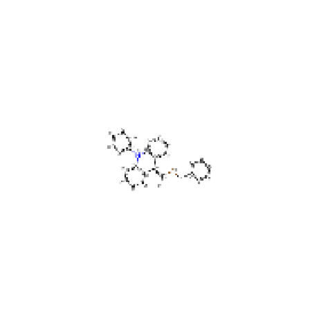 CC(SCc1ccccc1)=C1c2ccccc2N(c2ccccc2)c2ccccc21